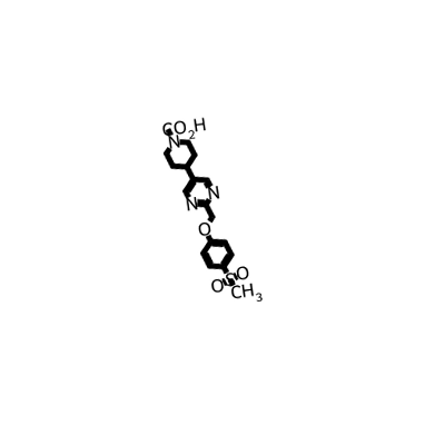 CS(=O)(=O)c1ccc(OCc2ncc(C3CCN(C(=O)O)CC3)cn2)cc1